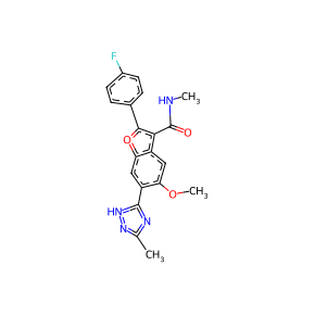 CNC(=O)c1c(-c2ccc(F)cc2)oc2cc(-c3nc(C)n[nH]3)c(OC)cc12